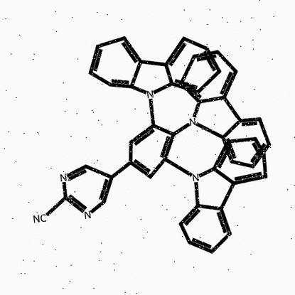 N#Cc1ncc(-c2cc(-n3c4ccccc4c4ccccc43)c(-n3c4ccccc4c4ccccc43)c(-n3c4ccccc4c4ccccc43)c2)cn1